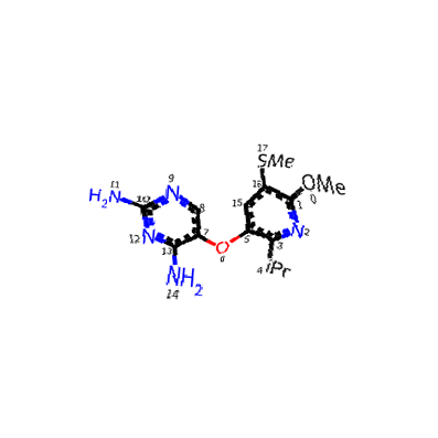 COc1nc(C(C)C)c(Oc2cnc(N)nc2N)cc1SC